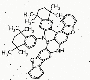 CC1(C)CCC(C)(C)c2cc(N3B4c5cc6oc7ccccc7c6cc5Nc5cc6oc7ccccc7c6c(c54)-c4cc5c(cc43)C(C)(C)CCC5(C)C)ccc21